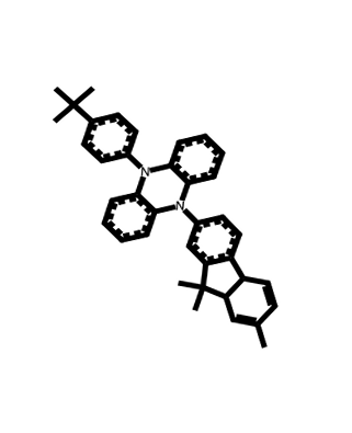 CC1=CC2C(C=C1)c1ccc(N3c4ccccc4N(c4ccc(C(C)(C)C)cc4)c4ccccc43)cc1C2(C)C